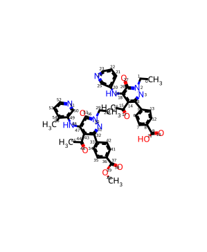 CCn1nc(-c2ccc(C(=O)O)cc2)c(C(C)=O)c(Nc2cccnc2)c1=O.CCn1nc(-c2ccc(C(=O)OC)cc2)c(C(C)=O)c(Nc2cnccc2C)c1=O